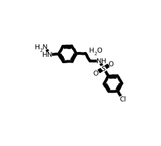 NNc1ccc(CCNS(=O)(=O)c2ccc(Cl)cc2)cc1.O